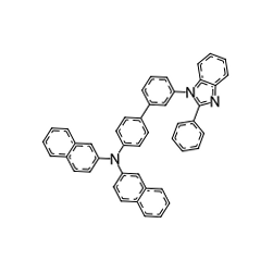 c1ccc(-c2nc3ccccc3n2-c2cccc(-c3ccc(N(c4ccc5ccccc5c4)c4ccc5ccccc5c4)cc3)c2)cc1